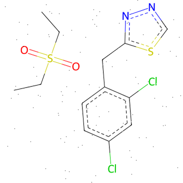 CCS(=O)(=O)CC.Clc1ccc(Cc2nncs2)c(Cl)c1